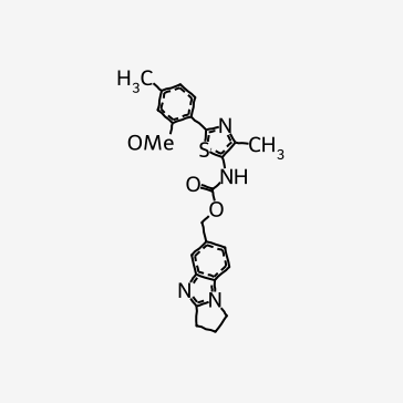 COc1cc(C)ccc1-c1nc(C)c(NC(=O)OCc2ccc3c(c2)nc2n3CCC2)s1